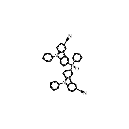 N#Cc1ccc2c(c1)c1cc(P(=O)(c3ccccc3)c3ccc4c(c3)c3cc(C#N)ccc3n4-c3ccccc3)ccc1n2-c1ccccc1